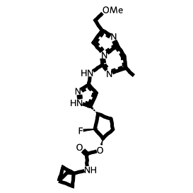 COCc1cn2c(Nc3cc([C@@H]4CC[C@H](OC(=O)NC56CC(C5)C6)[C@H]4F)[nH]n3)nc(C)cc2n1